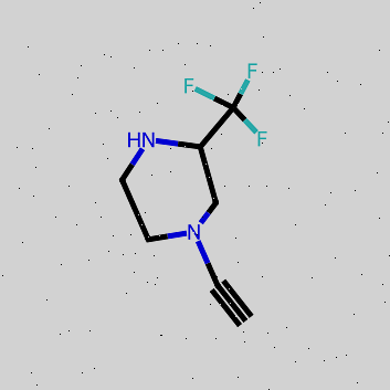 C#CN1CCNC(C(F)(F)F)C1